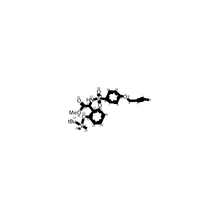 CC#CCOc1ccc(S(=O)(=O)NC(C(=O)OC)c2ccccc2O[Si](C)(C)C(C)(C)C)cc1